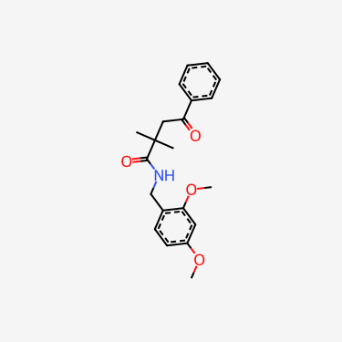 COc1ccc(CNC(=O)C(C)(C)CC(=O)c2ccccc2)c(OC)c1